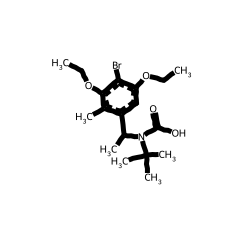 CCOc1cc(C(C)N(C(=O)O)C(C)(C)C)c(C)c(OCC)c1Br